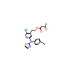 CCc1ccc(N(c2cc(CCOC(=O)CC(C)=O)c(Br)cn2)c2nccs2)cc1